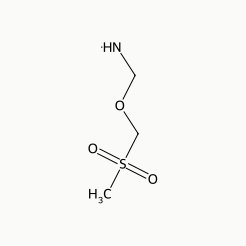 CS(=O)(=O)COC[NH]